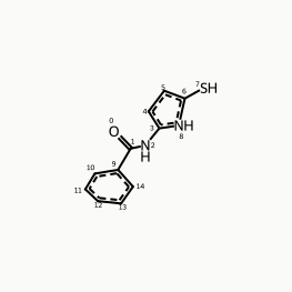 O=C(Nc1ccc(S)[nH]1)c1ccccc1